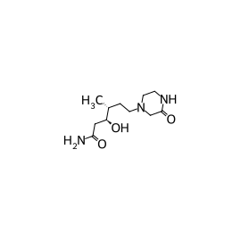 C[C@H](CCN1CCNC(=O)C1)[C@@H](O)CC(N)=O